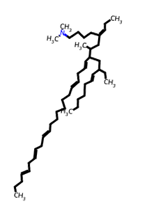 CC/C=C(\CCCCN(C)C)CC(C)C(C=CCC=CCCCCCCC=CCC=CCC=CCCC)CC(/C=C/CCCCC)CC